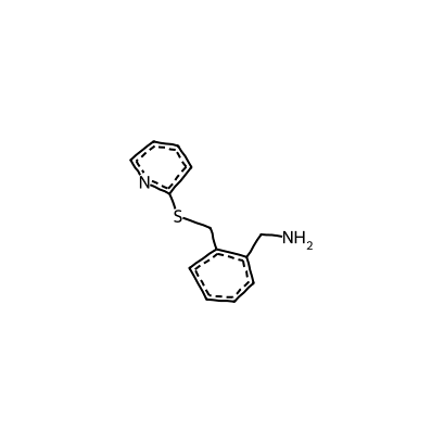 NCc1ccccc1CSc1ccccn1